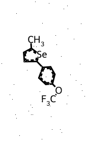 Cc1ccc(-c2ccc(OC(F)(F)F)cc2)[se]1